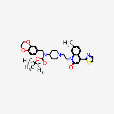 Cc1ccc2c(-c3nccs3)cc(=O)n(CCN3CCC(N(Cc4ccc5c(c4)OCCO5)C(=O)OC(C)(C)C)CC3)c2c1